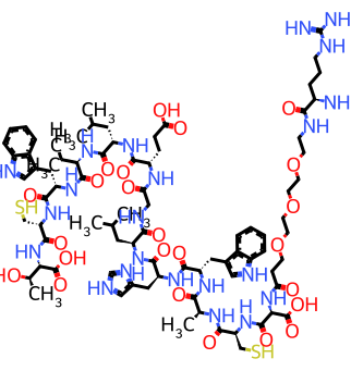 CC(C)C[C@H](NC(=O)[C@H](Cc1c[nH]cn1)NC(=O)[C@H](Cc1c[nH]c2ccccc12)NC(=O)[C@H](C)NC(=O)[C@H](CS)NC(=O)[C@@H](NC(=O)CCOCCOCCOCCNC(=O)[C@H](N)CCCNC(=N)N)C(=O)O)C(=O)NCC(=O)N[C@@H](CCC(=O)O)C(=O)N[C@@H](CC(C)C)C(=O)N[C@H](C(=O)N[C@@H](Cc1c[nH]c2ccccc12)C(=O)N[C@@H](CS)C(=O)N[C@H](C(=O)O)[C@@H](C)O)C(C)C